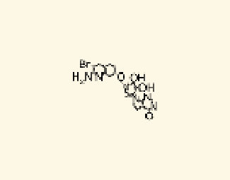 COc1ncnc2c1ccn2[C@@H]1S[C@H](COc2ccc3cc(Br)c(N)nc3c2)[C@@H](O)[C@H]1O